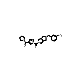 O=C(c1cnn(C(=O)N2CC3CN(Cc4cccc(C(F)(F)F)c4)CC3C2)c1)N1CCCC1